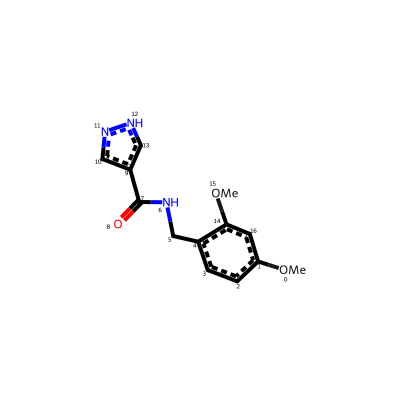 COc1ccc(CNC(=O)c2cn[nH]c2)c(OC)c1